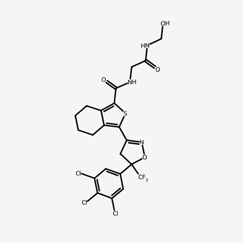 O=C(CNC(=O)c1sc(C2=NOC(c3cc(Cl)c(Cl)c(Cl)c3)(C(F)(F)F)C2)c2c1CCCC2)NCO